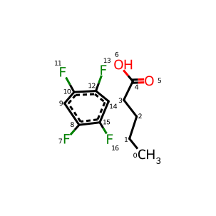 CCCCC(=O)O.Fc1cc(F)c(F)cc1F